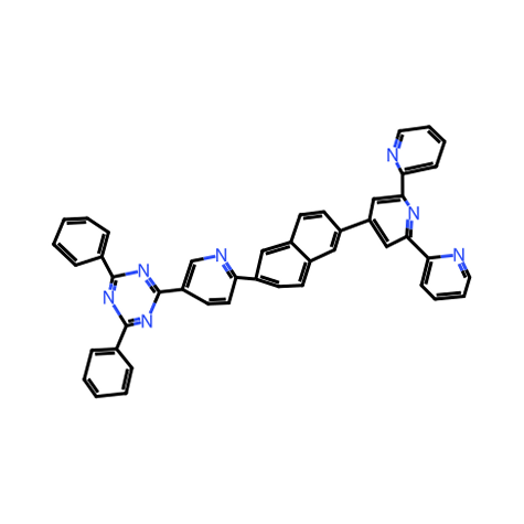 c1ccc(-c2nc(-c3ccccc3)nc(-c3ccc(-c4ccc5cc(-c6cc(-c7ccccn7)nc(-c7ccccn7)c6)ccc5c4)nc3)n2)cc1